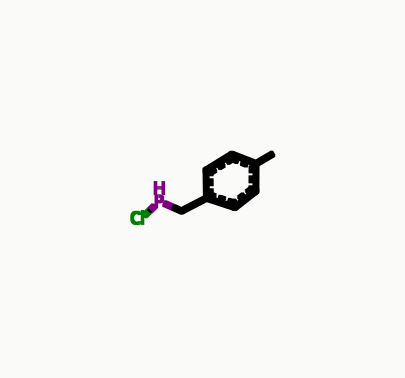 Cc1ccc(CPCl)cc1